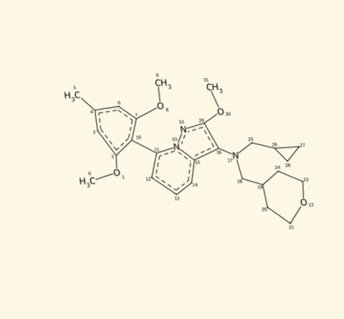 COc1cc(C)cc(OC)c1-c1cccc2c(N(CC3CCOCC3)CC3CC3)c(OC)nn12